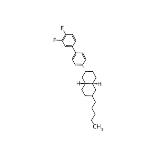 CCCCCC1CC[C@@H]2C[C@H](c3ccc(-c4ccc(F)c(F)c4)cc3)CC[C@@H]2C1